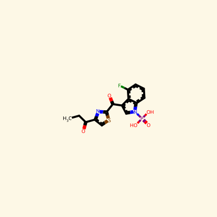 CCC(=O)c1csc(C(=O)c2cn(P(=O)(O)O)c3cccc(F)c23)n1